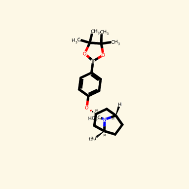 CC1(C)OB(c2ccc(O[C@@H]3C[C@@H]4CC[C@](C(C)(C)C)(C3)N4C(=O)O)cc2)OC1(C)C